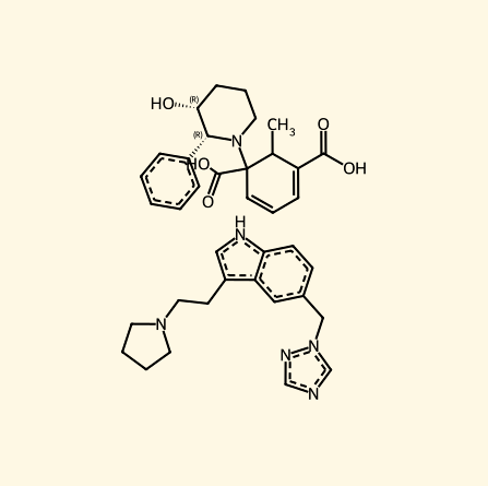 CC1C(C(=O)O)=CC=CC1(C(=O)O)N1CCC[C@@H](O)[C@H]1c1ccccc1.c1ncn(Cc2ccc3[nH]cc(CCN4CCCC4)c3c2)n1